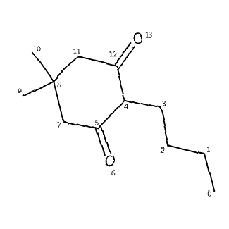 CCCCC1C(=O)CC(C)(C)CC1=O